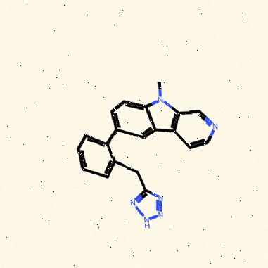 Cn1c2ccc(-c3ccccc3Cc3nn[nH]n3)cc2c2ccncc21